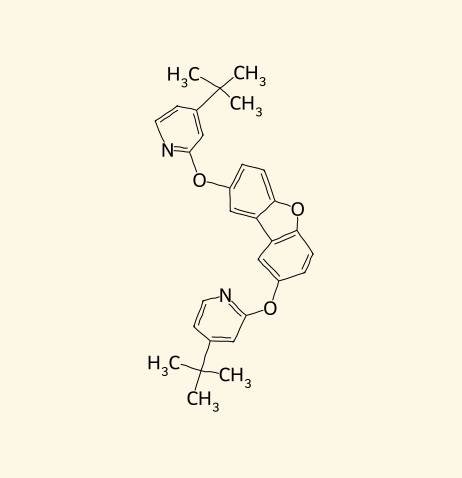 CC(C)(C)c1ccnc(Oc2ccc3oc4ccc(Oc5cc(C(C)(C)C)ccn5)cc4c3c2)c1